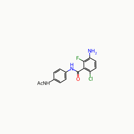 CC(=O)Nc1ccc(NC(=O)c2c(Cl)ccc(N)c2F)cc1